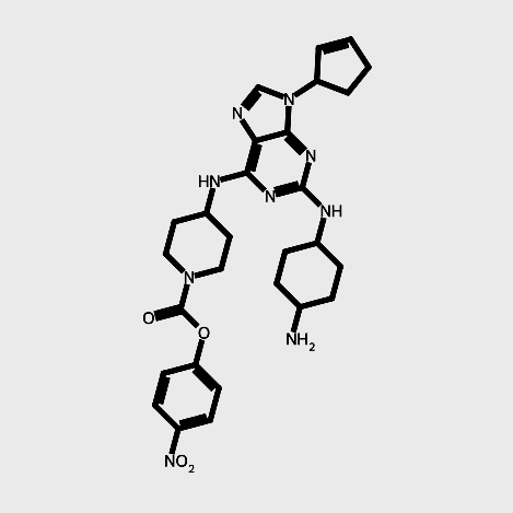 NC1CCC(Nc2nc(NC3CCN(C(=O)Oc4ccc([N+](=O)[O-])cc4)CC3)c3ncn(C4C=CCC4)c3n2)CC1